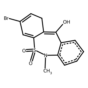 CN1c2ccccc2C(O)=C2CC=C(Br)C=C2S1(=O)=O